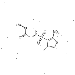 Cc1csc([N+](=O)[O-])c1S(=O)(=O)NCC(=O)OC(C)(C)C